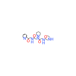 O=C(CN(C(=O)CNC1CNCCO1)N1CCCCC1)NCC(=O)c1ccccn1